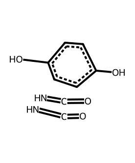 N=C=O.N=C=O.Oc1ccc(O)cc1